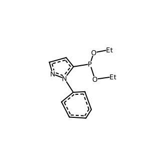 CCOP(OCC)c1ccnn1-c1ccccc1